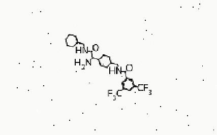 NC(C(=O)NCC1CCCCC1)C1CCC(CNC(=O)c2cc(C(F)(F)F)cc(C(F)(F)F)c2)CC1